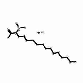 C=C(C)C(CCCCCCCCCCCCCC)N(C)C.Cl